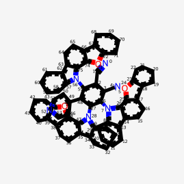 N#Cc1c(C#N)c(-n2c3ccccc3c3ccc4c5ccccc5oc4c32)c(-n2c3ccccc3c3ccc4c5ccccc5oc4c32)c(-c2ccncc2)c1-n1c2ccccc2c2ccc3c4ccccc4oc3c21